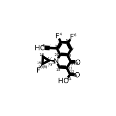 C#Cc1c(F)c(F)cc2c(=O)c(C(=O)O)cn([C@@H]3C[C@H]3F)c12